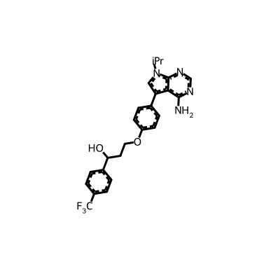 CC(C)n1cc(-c2ccc(OCCC(O)c3ccc(C(F)(F)F)cc3)cc2)c2c(N)ncnc21